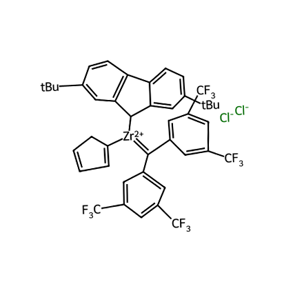 CC(C)(C)c1ccc2c(c1)[CH]([Zr+2]([C]1=CC=CC1)=[C](c1cc(C(F)(F)F)cc(C(F)(F)F)c1)c1cc(C(F)(F)F)cc(C(F)(F)F)c1)c1cc(C(C)(C)C)ccc1-2.[Cl-].[Cl-]